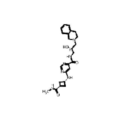 CNC(=O)[C@H]1C[C@H](Nc2cc(C(=O)NC[C@H](O)CN3CCc4ccccc4C3)ncn2)C1